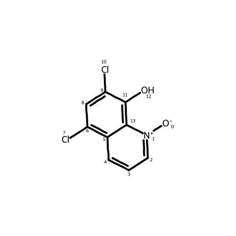 [O-][n+]1cccc2c(Cl)cc(Cl)c(O)c21